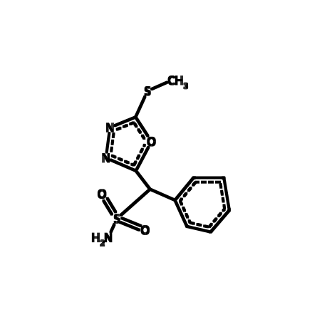 CSc1nnc(C(c2ccccc2)S(N)(=O)=O)o1